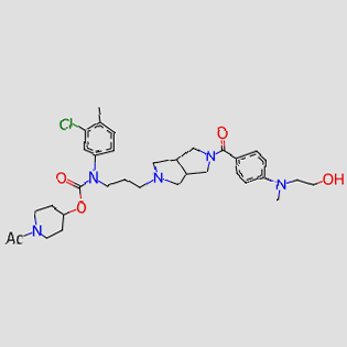 CC(=O)N1CCC(OC(=O)N(CCCN2CC3CN(C(=O)c4ccc(N(C)CCO)cc4)CC3C2)c2ccc(C)c(Cl)c2)CC1